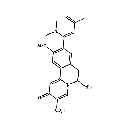 C=C(C)/C=C(/c1cc2c(cc1OC)-c1cc(=O)c(C(=O)O)cn1C(C(C)(C)C)C2)N(C)C